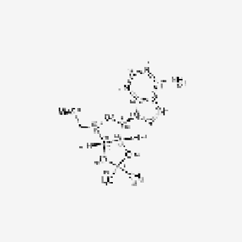 CSC[C@H]1O[C@@H](n2cnc3c(N)ncnc32)[C@@H]2OC(C)(C)O[C@@H]21